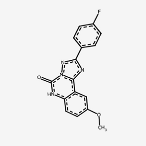 COc1ccc2[nH]c(=O)n3nc(-c4ccc(F)cc4)nc3c2c1